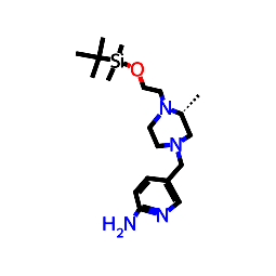 C[C@@H]1CN(Cc2ccc(N)nc2)CCN1CCO[Si](C)(C)C(C)(C)C